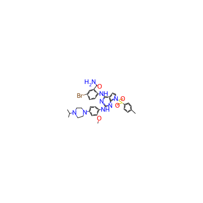 COc1cc(N2CCN(C(C)C)CC2)ccc1Nc1nc(Nc2ccc(Br)cc2C(N)=O)c2ccn(S(=O)(=O)c3ccc(C)cc3)c2n1